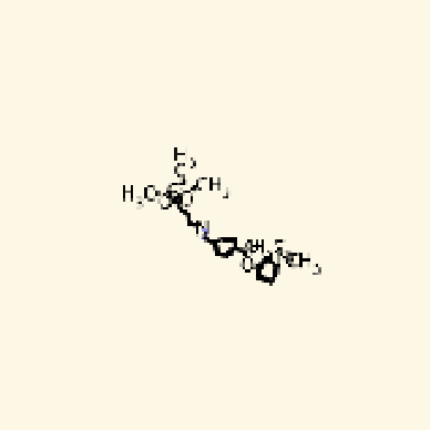 CCO[Si](CCC/N=C/c1ccc(C(=O)Oc2cccc(N(C)C)c2)cc1)(OCC)OCC